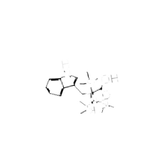 C[Si](C)(C)N([C@@](Cc1c[nH]c2ccccc12)(C(=O)O)[Si](C)(C)C)[Si](C)(C)C